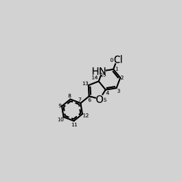 ClC1=CC=C2OC(c3ccccc3)=CC2N1